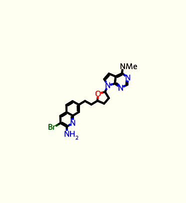 CNc1ncnc2c1ccn2C1CCC(CCc2ccc3cc(Br)c(N)nc3c2)O1